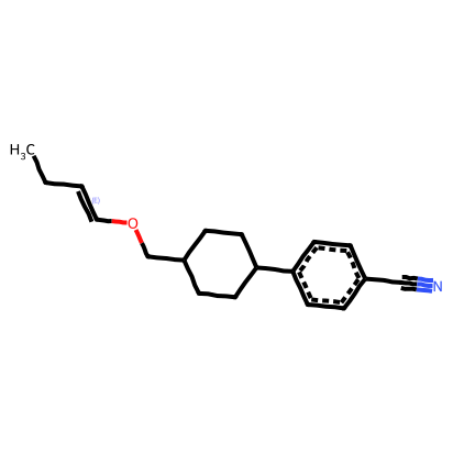 CC/C=C/OCC1CCC(c2ccc(C#N)cc2)CC1